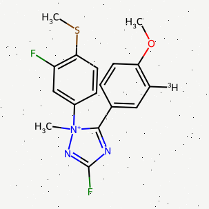 [3H]c1cc(C2=NC(F)=N[N+]2(C)c2ccc(SC)c(F)c2)ccc1OC